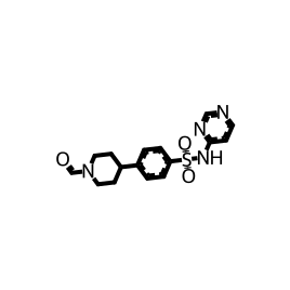 O=CN1CCC(c2ccc(S(=O)(=O)Nc3ccncn3)cc2)CC1